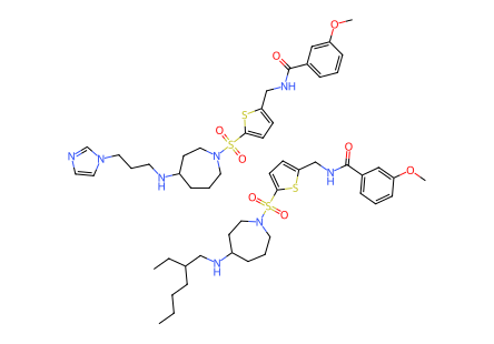 CCCCC(CC)CNC1CCCN(S(=O)(=O)c2ccc(CNC(=O)c3cccc(OC)c3)s2)CC1.COc1cccc(C(=O)NCc2ccc(S(=O)(=O)N3CCCC(NCCCn4ccnc4)CC3)s2)c1